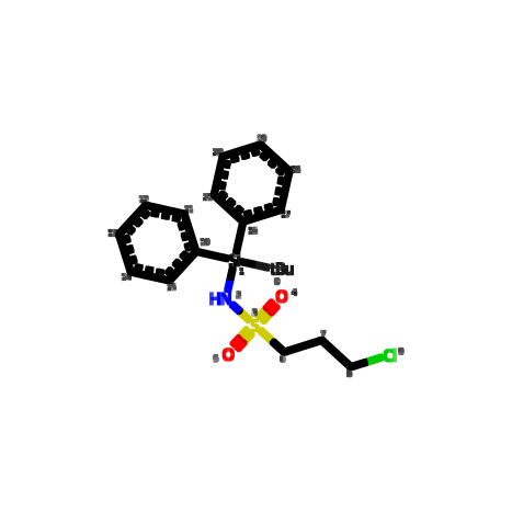 CC(C)(C)[Si](NS(=O)(=O)CCCCl)(c1ccccc1)c1ccccc1